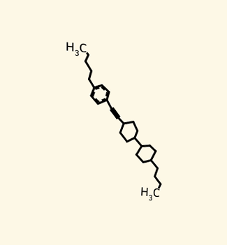 CCCCCc1ccc(C#CC2CCC(C3CCC(CCCC)CC3)CC2)cc1